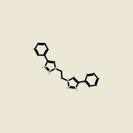 c1ccc(-c2cn(CCn3cc(-c4ccccc4)nn3)nn2)cc1